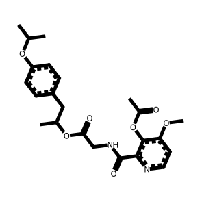 COc1ccnc(C(=O)NCC(=O)OC(C)Cc2ccc(OC(C)C)cc2)c1OC(C)=O